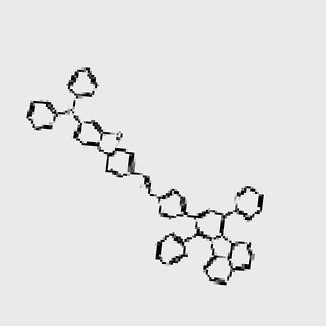 C(=C\c1ccc2c(c1)oc1cc(N(c3ccccc3)c3ccccc3)ccc12)/c1ccc(-c2cc(-c3ccccc3)c3c(c2-c2ccccc2)-c2cccc4cccc-3c24)cc1